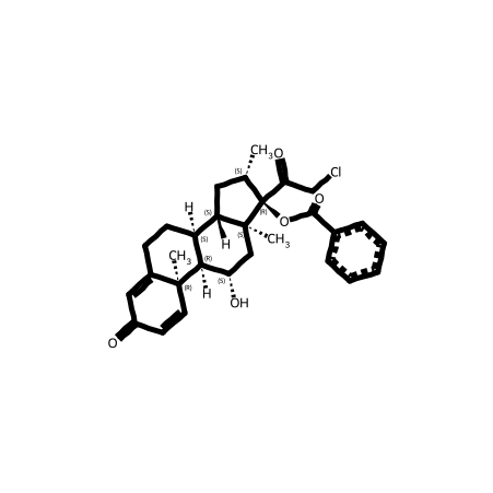 C[C@H]1C[C@H]2[C@@H]3CCC4=CC(=O)C=C[C@]4(C)[C@@H]3[C@@H](O)C[C@]2(C)[C@@]1(OC(=O)c1ccccc1)C(=O)CCl